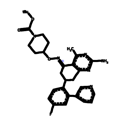 Cc1nc(N)nc2c1/C(=N/OC1CCN(C(=O)OC(C)(C)C)CC1)CC(c1ccc(F)cc1-c1cccnc1)C2